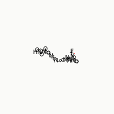 C[C@@H]1Cc2c([nH]c3ccccc23)[C@@H](c2cnc(N3CCC4(CC3)CC(CN3CCC5(CC3)CCN(c3ccc6c(c3)CN(C3CCC(=O)NC3=O)C6=O)CC5)C4)cn2)N1CC(C)(C)F